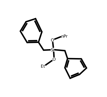 CCCO[Si](Cc1ccccc1)(Cc1ccccc1)OCC